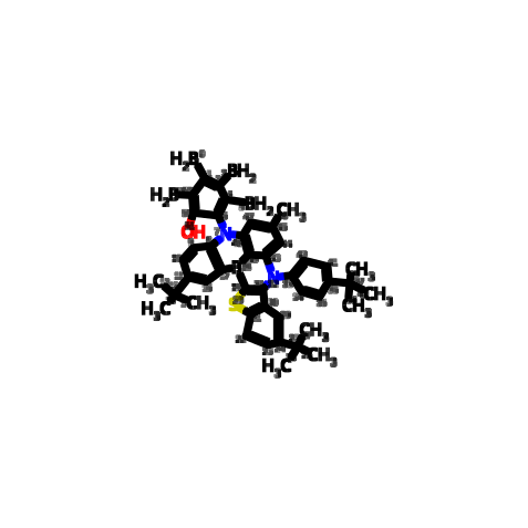 Bc1c(B)c(B)c(N2c3ccc(C(C)(C)C)cc3B3c4sc5ccc(C(C)(C)C)cc5c4N(c4ccc(C(C)(C)C)cc4)c4cc(C)cc2c43)c(O)c1B